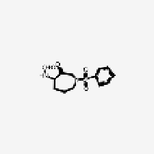 O=CNC1CCCN(S(=O)(=O)c2ccccc2)CC1=O